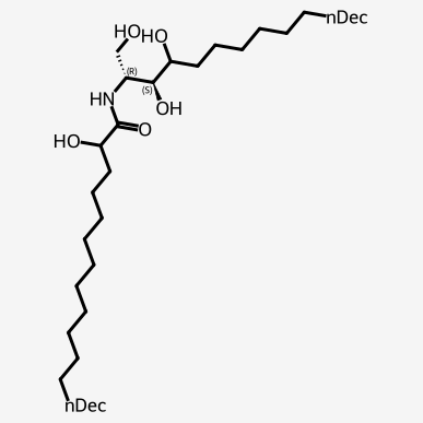 CCCCCCCCCCCCCCCCCCCCC(O)C(=O)N[C@H](CO)[C@H](O)C(O)CCCCCCCCCCCCCCCC